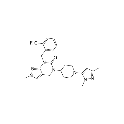 Cc1cc(N2CCC(N3Cc4cn(C)nc4N(Cc4ccccc4C(F)(F)F)C3=O)CC2)n(C)n1